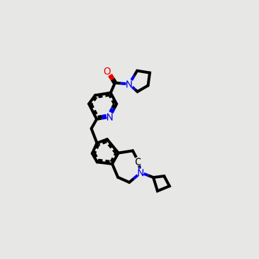 O=C(c1ccc(Cc2ccc3c(c2)CCN(C2CCC2)CC3)nc1)N1CCCC1